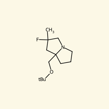 CC1(F)CN2CCCC2(COC(C)(C)C)C1